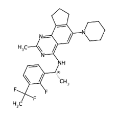 Cc1nc(N[C@H](C)c2cccc(C(C)(F)F)c2F)c2cc(N3CCCCC3)c3c(c2n1)CCC3